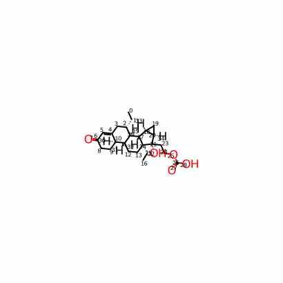 CC[C@H]1CC2=CC(=O)CC[C@@H]2[C@H]2CC[C@@]3(CC)[C@@H]([C@H]4C[C@H]4[C@@]3(O)CCOC(=O)O)[C@H]12